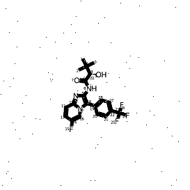 CC(C)(C)[C@H](O)C(=O)Nc1nc2ccc(F)cn2c1-c1ccc(C(F)(F)F)cc1